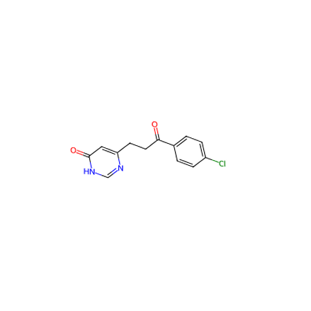 O=C(CCc1cc(=O)[nH]cn1)c1ccc(Cl)cc1